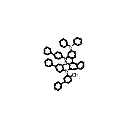 Cc1ccc(-c2ccccc2)cc1N1c2ccc(-c3ccccc3)cc2B2c3c1cc1ccccc1c3-c1ccc(N(c3ccccc3)c3ccccc3)cc1N2c1ccc(-c2ccccc2)cc1